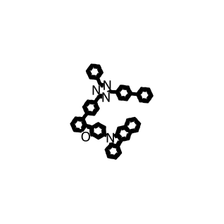 c1ccc(-c2ccc(-c3nc(-c4ccccc4)nc(-c4ccc(-c5cccc6oc7cc(-n8c9ccccc9c9cc%10ccccc%10cc98)ccc7c56)cc4)n3)cc2)cc1